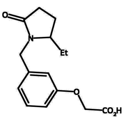 CCC1CCC(=O)N1Cc1cccc(OCC(=O)O)c1